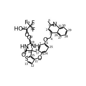 Cc1cc(COc2ccc(Oc3ccsc3C3(C)NC(=O)NC3=O)cc2)c2ccccc2n1.O=C(O)C(F)(F)F